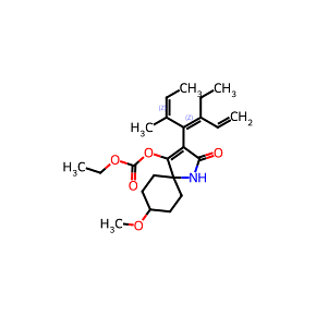 C=C/C(CC)=C(C1=C(OC(=O)OCC)C2(CCC(OC)CC2)NC1=O)/C(C)=C\C